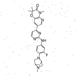 CN1C(=O)C(C)(C)Oc2cc(-c3ccnc(Nc4ccc(N5CC6CC5CN6C)c(F)c4)n3)cnc21